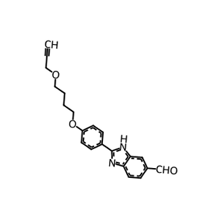 C#CCOCCCCOc1ccc(-c2nc3ccc(C=O)cc3[nH]2)cc1